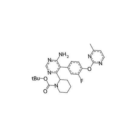 Cc1ccnc(Oc2ccc(-c3c(N)ncnc3C3CCCCN3C(=O)OC(C)(C)C)cc2F)n1